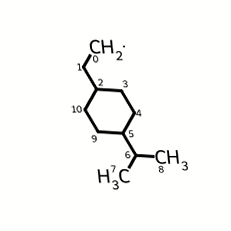 [CH2]CC1CCC(C(C)C)CC1